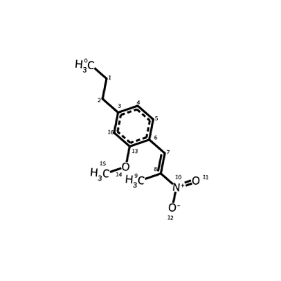 CCCc1ccc(/C=C(\C)[N+](=O)[O-])c(OC)c1